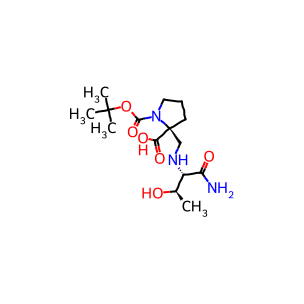 C[C@@H](O)[C@H](NC[C@]1(C(=O)O)CCCN1C(=O)OC(C)(C)C)C(N)=O